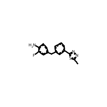 Cc1nnc(-c2cccc(Cc3ccc(N)c(F)c3)c2)s1